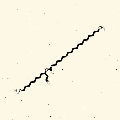 CCCCCCCCCCCCCCCCCCCC(=O)OC(CC=O)CCCCCCCCC